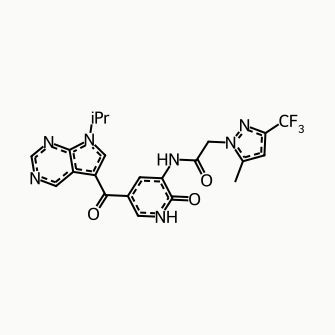 Cc1cc(C(F)(F)F)nn1CC(=O)Nc1cc(C(=O)c2cn(C(C)C)c3ncncc23)c[nH]c1=O